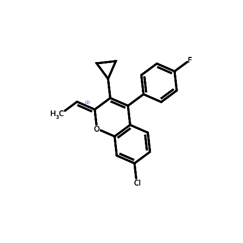 C/C=C1\Oc2cc(Cl)ccc2C(c2ccc(F)cc2)=C1C1CC1